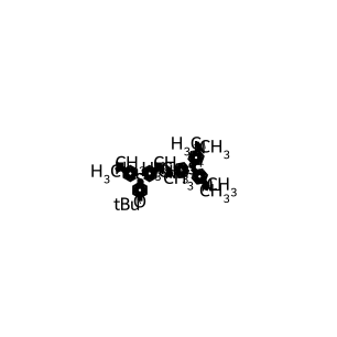 CN(C)c1ccc([S+](c2ccc(N(C)C)cc2)c2ccc(N(C)C)cc2)cc1.CN(C)c1ccc([S+](c2ccc(OC(C)(C)C)cc2)c2ccc(N(C)C)cc2)cc1